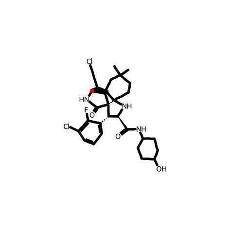 CC1(C)CCC2(CC1)N[C@@H](C(=O)NC1CCC(O)CC1)[C@H](c1cccc(Cl)c1F)[C@]21C(=O)Nc2cc(Cl)ccc21